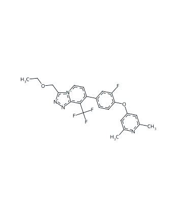 CCOCc1nnc2c(C(F)(F)F)c(-c3ccc(Oc4cc(C)nc(C)c4)c(F)c3)ccn12